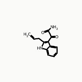 C=CCc1[nH]c2ccccc2c1C(=O)C(N)=O